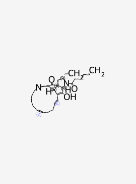 C=CCCCC(=O)N1[C@H]2C(O)=C3/C=C/CC/C=C\CCCCN4CC[C@@H]3[C@]2(C[C@@H]1C=C)C4=O